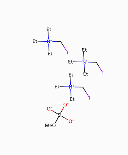 CC[N+](CC)(CC)CI.CC[N+](CC)(CC)CI.CC[N+](CC)(CC)CI.CO[Si]([O-])([O-])[O-]